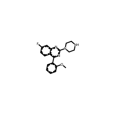 COc1ccccc1-c1nc(N2CCNCC2)nc2cc(F)ccc12